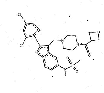 CN(c1ccc2nc(-c3ccc(Cl)cc3Cl)c(CN3CCN(C(=O)C4COC4)CC3)n2c1)S(C)(=O)=O